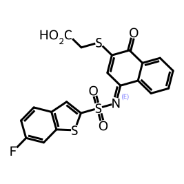 O=C(O)CSC1=C/C(=N\S(=O)(=O)c2cc3ccc(F)cc3s2)c2ccccc2C1=O